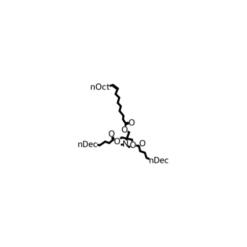 CCCCCCCC/C=C\CCCCCCCC(=O)OCC(COC(=O)CCCCCCCCCCCCC)(COC(=O)CCCCCCCCCCCCC)N(C)C